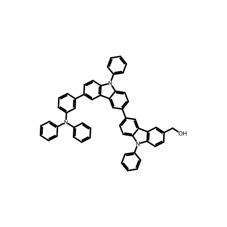 OCc1ccc2c(c1)c1cc(-c3ccc4c(c3)c3cc(-c5cccc(N(c6ccccc6)c6ccccc6)c5)ccc3n4-c3ccccc3)ccc1n2-c1ccccc1